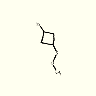 COSC1CC(S)C1